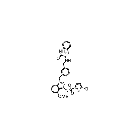 COc1cccc2c1c(NS(=O)(=O)c1ccc(Cl)s1)nn2Cc1cccc(CN[C@@H](Cc2ccccc2)C(N)=O)c1